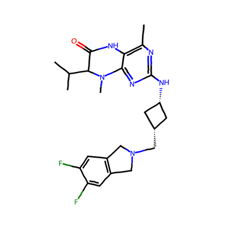 Cc1nc(N[C@H]2C[C@@H](CN3Cc4cc(F)c(F)cc4C3)C2)nc2c1NC(=O)C(C(C)C)N2C